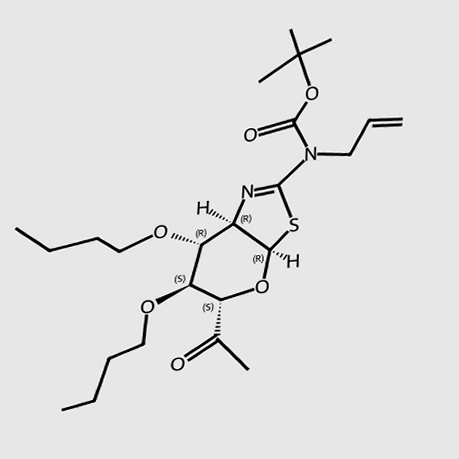 C=CCN(C(=O)OC(C)(C)C)C1=N[C@@H]2[C@@H](OCCCC)[C@H](OCCCC)[C@@H](C(C)=O)O[C@@H]2S1